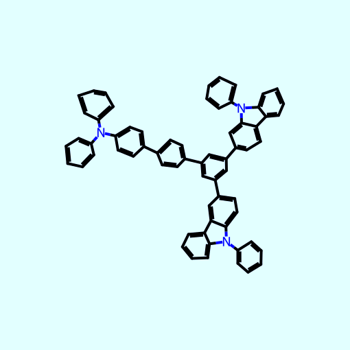 c1ccc(N(c2ccccc2)c2ccc(-c3ccc(-c4cc(-c5ccc6c(c5)c5ccccc5n6-c5ccccc5)cc(-c5ccc6c7ccccc7n(-c7ccccc7)c6c5)c4)cc3)cc2)cc1